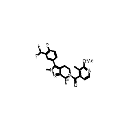 COc1nccc(C(=O)N2CCc3c(nn(C)c3-c3ccc(F)c(C(F)F)c3)[C@@H]2C)c1C